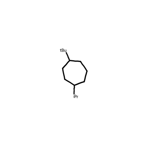 CC(C)C1CCCC(C(C)(C)C)CC1